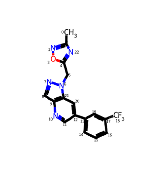 Cc1noc(Cn2ncc3ncc(-c4cccc(C(F)(F)F)c4)cc32)n1